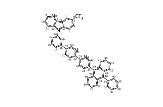 FC(F)(F)c1ccc2c(c1)c1ncccc1n2-c1cccc(-c2ccc(-c3ccc(-c4c5ccccc5c(-c5ccccc5)c5ccccc45)cn3)nc2)c1